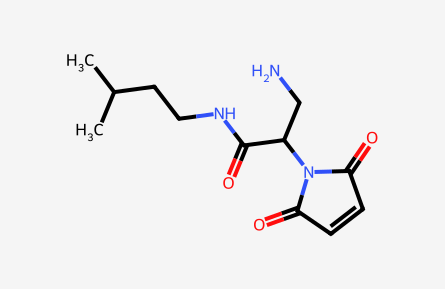 CC(C)CCNC(=O)C(CN)N1C(=O)C=CC1=O